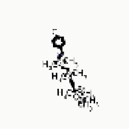 CCC(C)(C#C[Si](C)(C)CC[Si](C)(C)/C=C/c1ccc(Cl)cc1)O[Si](C)(C)C